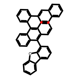 c1ccc(-c2c3ccccc3c(-c3cccc4c3oc3ccccc34)c3ccccc23)c(-c2ccc3ccccc3c2)c1